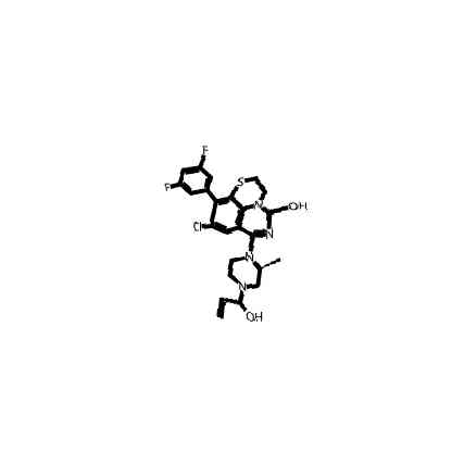 C=CC(O)N1CCN(C2=NC(O)N3CCSc4c(-c5cc(F)cc(F)c5)c(Cl)cc2c43)[C@@H](C)C1